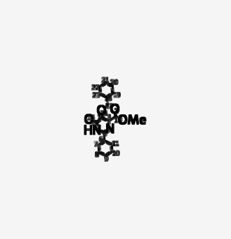 COC(=O)c1nc(-c2ccccc2)[nH]c(=O)c1OCc1ccccc1